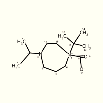 CC(C)N1CCC[N+](C(=O)[O-])(C(C)(C)C)CC1